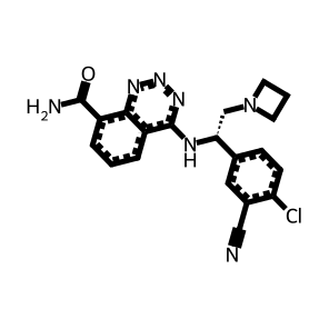 N#Cc1cc([C@@H](CN2CCC2)Nc2nnnc3c(C(N)=O)cccc23)ccc1Cl